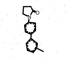 Cc1cccc(-c2ccc(N3CCCC3=O)cc2)c1